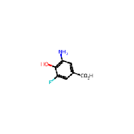 Nc1cc(C(=O)O)cc(F)c1O